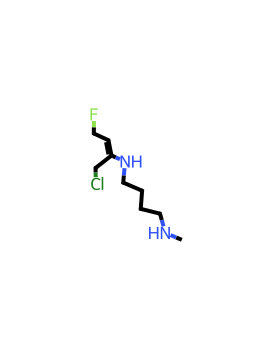 CNCCCCN/C(=C/CF)CCl